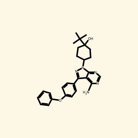 CC(C)(C)C1(O)[CH]CC(n2nc(-c3ccc(Oc4ccccc4)cc3)c3c(N)ncnc32)CC1